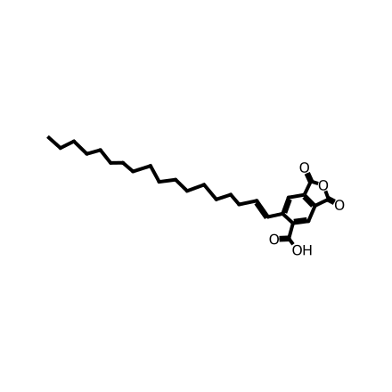 CCCCCCCCCCCCCCCCC=Cc1cc2c(cc1C(=O)O)C(=O)OC2=O